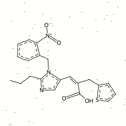 CCCc1ncc(C=C(Cc2cccs2)C(=O)O)n1Cc1ccccc1[N+](=O)[O-]